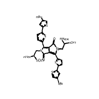 CCCCCCCCC(CCCCCC)CN1C(=O)C2=C(c3ccc(-c4cc(CCCC)cs4)s3)N(CC(CCCCCC)CCCCCCCC)C(=O)C2=C1c1ccc(-c2cc(CCCC)cs2)s1